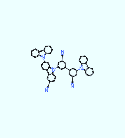 N#Cc1cc(-c2cc(C#N)cc(-n3c4ccc(C#N)cc4c4ccc(-n5c6ccccc6c6ccccc65)cc43)c2)cc(-n2c3ccccc3c3ccccc32)c1